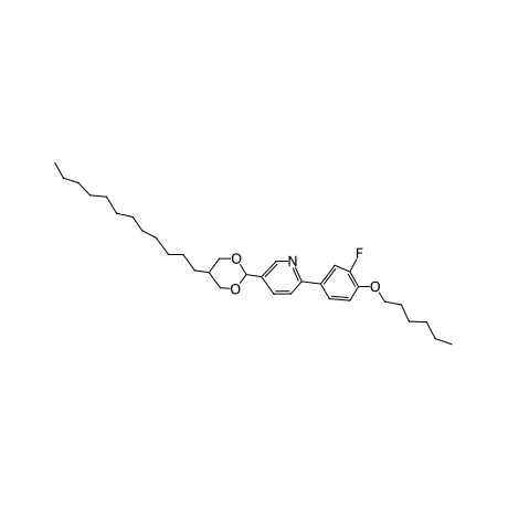 CCCCCCCCCCCCC1COC(c2ccc(-c3ccc(OCCCCCC)c(F)c3)nc2)OC1